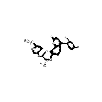 C[C@@H](Oc1ccc2c(-c3ccc(F)cc3Cl)cc(=O)oc2c1)C(=O)Nc1ccc(C(=O)O)nc1